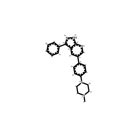 CN1CCN(c2ccc(-c3cnc4[nH]nc(-c5c[c]ccc5)c4c3)cc2)CC1